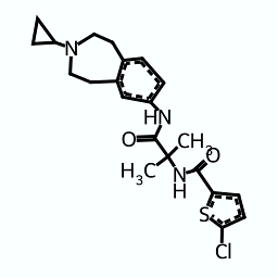 CC(C)(NC(=O)c1ccc(Cl)s1)C(=O)Nc1ccc2c(c1)CCN(C1CC1)CC2